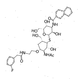 CC(=O)N[C@H]1[C@H](OCCNC(=O)Cc2cccc(F)c2)C[C@H](CO)C(SC2O[C@H](CO)[C@H](O)[C@@H](NC(=O)c3ccc4ccccc4c3)[C@H]2O)[C@@H]1O